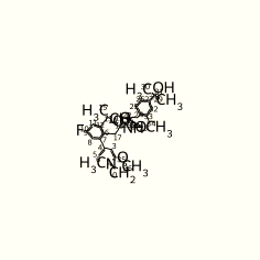 C=N/C(=C\C(=C/C)c1cc(F)cc(C(C)C)c1CC(=O)NS(=O)(=O)c1ccc(C(C)(C)O)cc1C)OC